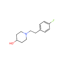 O[C]1CCN(CCc2ccc(F)cc2)CC1